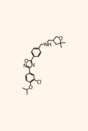 CC(C)Oc1ccc(-c2noc(-c3ccc(CNCC4COC(C)(C)C4)cc3)n2)cc1Cl